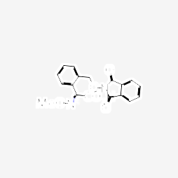 CO/N=C(/C(=O)O)c1ccccc1CON1C(=O)c2ccccc2C1=O